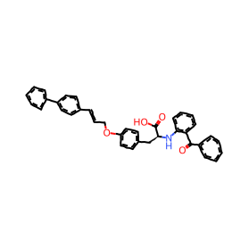 O=C(c1ccccc1)c1ccccc1N[C@@H](Cc1ccc(OC/C=C/c2ccc(-c3ccccc3)cc2)cc1)C(=O)O